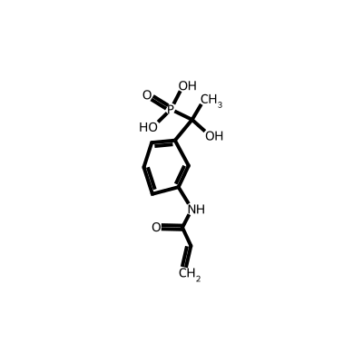 C=CC(=O)Nc1cccc(C(C)(O)P(=O)(O)O)c1